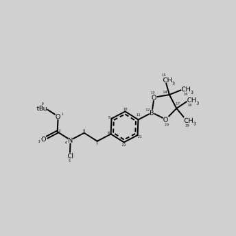 CC(C)(C)OC(=O)N(Cl)CCc1ccc(B2OC(C)(C)C(C)(C)O2)cc1